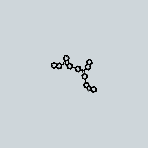 c1ccc2cc(N(c3ccc(-c4ccc5sc6ccccc6c5c4)cc3)c3ccc(-c4ccc5c(c4)c4ccccc4n5-c4ccc5ccccc5c4)cc3)ccc2c1